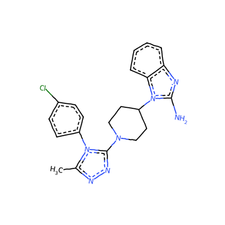 Cc1nnc(N2CCC(n3c(N)nc4ccccc43)CC2)n1-c1ccc(Cl)cc1